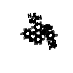 CNC(=O)N1C[C@@H](NS(=O)(=O)c2ccc(OC(F)(F)F)cc2)[C@H](O)[C@@H](N2c3ccccc3Oc3ccccc32)C1